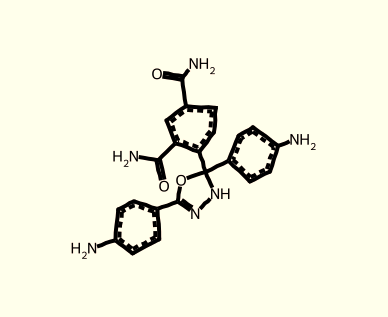 NC(=O)c1ccc(C2(c3ccc(N)cc3)NN=C(c3ccc(N)cc3)O2)c(C(N)=O)c1